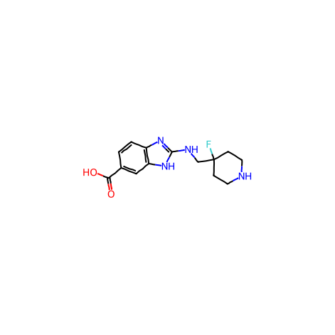 O=C(O)c1ccc2nc(NCC3(F)CCNCC3)[nH]c2c1